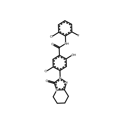 O=C(Nc1c(F)cccc1Cl)c1cc(Cl)c(-n2nc3n(c2=O)CCCC3)cc1O